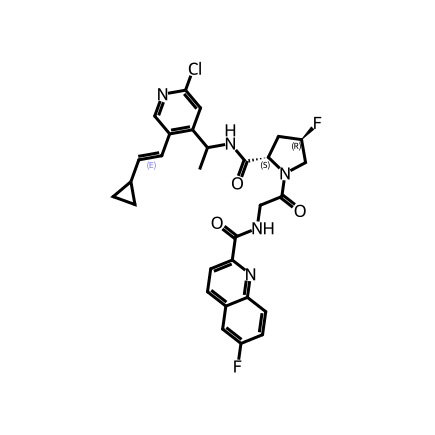 CC(NC(=O)[C@@H]1C[C@@H](F)CN1C(=O)CNC(=O)c1ccc2cc(F)ccc2n1)c1cc(Cl)ncc1/C=C/C1CC1